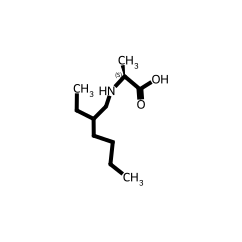 CCCCC(CC)CN[C@@H](C)C(=O)O